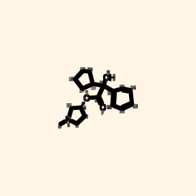 CN1CC[C@@H](OC(=O)C(O)(c2ccccc2)C2CCCC2)C1